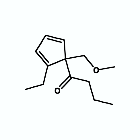 CCCC(=O)C1(COC)C=CC=C1CC